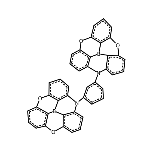 c1cc(N2c3cccc4c3B3c5c(cccc5Oc5cccc2c53)O4)cc(N2c3cccc4c3B3c5c(cccc5Oc5cccc2c53)O4)c1